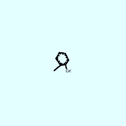 Cc1cccc[c]1[Ge]